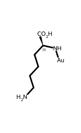 NCCCC[C@H]([NH][Au])C(=O)O